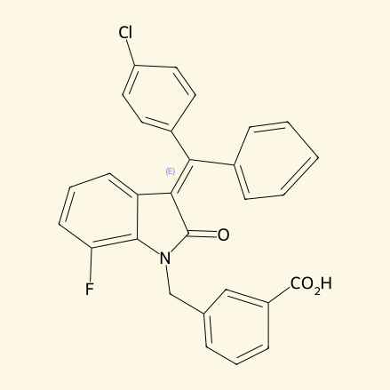 O=C(O)c1cccc(CN2C(=O)/C(=C(\c3ccccc3)c3ccc(Cl)cc3)c3cccc(F)c32)c1